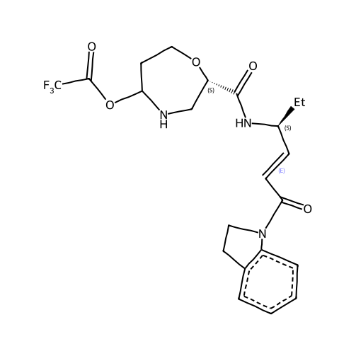 CC[C@@H](/C=C/C(=O)N1CCc2ccccc21)NC(=O)[C@@H]1CNC(OC(=O)C(F)(F)F)CCO1